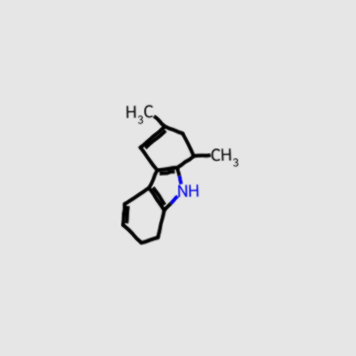 CC1=Cc2c([nH]c3c2C=CCC3)C(C)C1